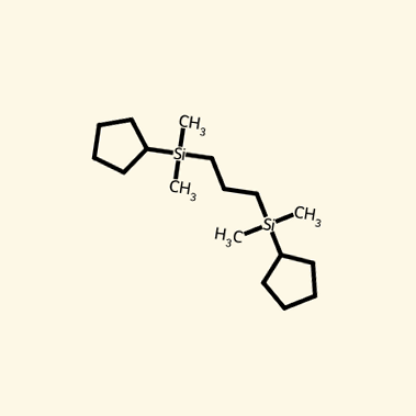 C[Si](C)(CCC[Si](C)(C)C1CCCC1)C1CCCC1